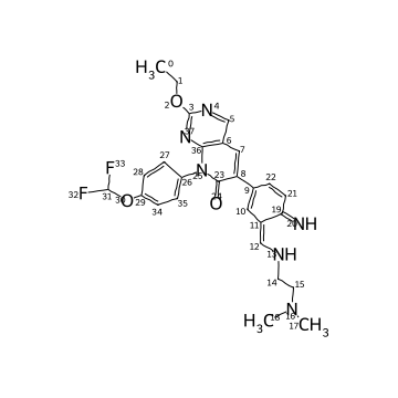 CCOc1ncc2cc(C3=C/C(=C/NCCN(C)C)C(=N)C=C3)c(=O)n(-c3ccc(OC(F)F)cc3)c2n1